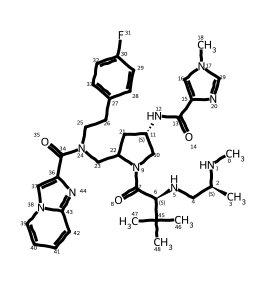 CN[C@@H](C)CN[C@H](C(=O)N1C[C@@H](NC(=O)c2cn(C)cn2)CC1CN(CCc1ccc(F)cc1)C(=O)c1cn2ccccc2n1)C(C)(C)C